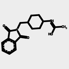 CC(O)=[SH]C1CCC(CN2C(=O)c3ccccc3C2=O)CC1